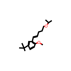 COc1ccc(C(C)(C)C)cc1/C=C/CCCOC(C)C